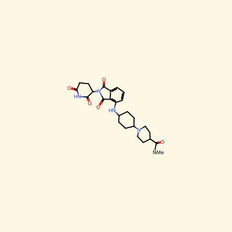 CNC(=O)C1CCN(C2CCC(Nc3cccc4c3C(=O)N(C3CCC(=O)NC3=O)C4=O)CC2)CC1